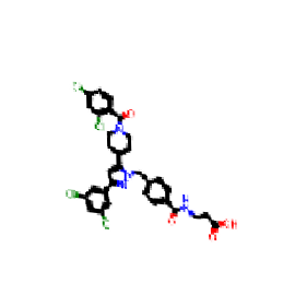 O=C(O)CCNC(=O)c1ccc(Cn2nc(-c3cc(Cl)cc(Cl)c3)cc2C2CCN(C(=O)c3ccc(Cl)cc3Cl)CC2)cc1